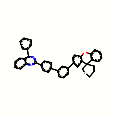 c1ccc(-c2nc(-c3ccc(-c4cccc(-c5ccc6c(c5)C5(CCCCC5)c5ccccc5O6)c4)cc3)nc3ccccc23)cc1